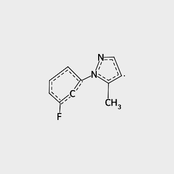 Cc1[c]cnn1-c1cccc(F)c1